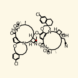 C[C@@H]1[C@@H](C)CCC[C@](O)(CC#N)[C@@H]2CC[C@H]2CN2C[C@@]3(CCCc4cc(Cl)ccc43)COc3c(O[C@]4(CC#N)CCC[C@H](C)[C@@H](C)S(=O)(=O)NC(=O)c5ccc6c(c5)N(CCCCc5cc(Cl)ccc5CO6)C[C@@H]5CC[C@H]54)cc(cc32)C(=O)NS1(=O)=O